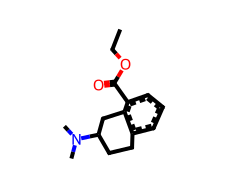 CCOC(=O)c1cccc2c1CC(N(C)C)CC2